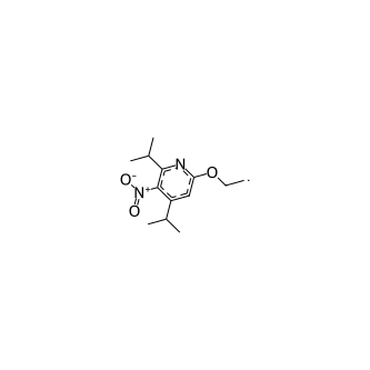 [CH2]COc1cc(C(C)C)c([N+](=O)[O-])c(C(C)C)n1